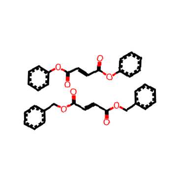 O=C(C=CC(=O)OCc1ccccc1)OCc1ccccc1.O=C(C=CC(=O)Oc1ccccc1)Oc1ccccc1